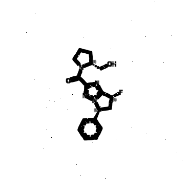 O=C(c1nc2n(n1)[C@H](c1ccccc1)C[C@@H]2F)N1CCC[C@@H]1CO